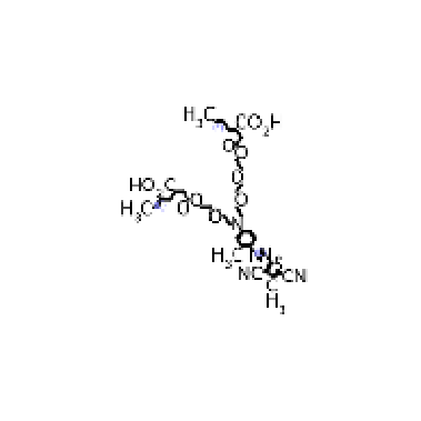 C/C=C/CC(CC(=O)OCCOCCOCCN(CCOCCOC(=O)CC(C/C=C/C)C(=O)O)c1ccc(/N=N/c2sc(C#N)c(C)c2C#N)c(C)c1)C(=O)O